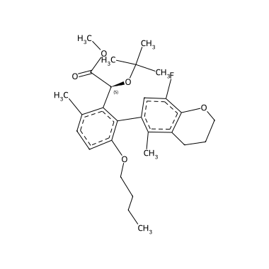 CCCCOc1ccc(C)c([C@H](OC(C)(C)C)C(=O)OC)c1-c1cc(F)c2c(c1C)CCCO2